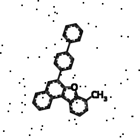 Cc1cccc2c1oc1c(-c3ccc(-c4ccccc4)cc3)cc3ccccc3c12